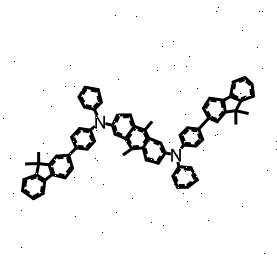 Cc1c2ccc(N(c3ccccc3)c3ccc(-c4ccc5c(c4)C(C)(C)c4ccccc4-5)cc3)cc2c(C)c2ccc(N(c3ccccc3)c3ccc(-c4ccc5c(c4)C(C)(C)c4ccccc4-5)cc3)cc12